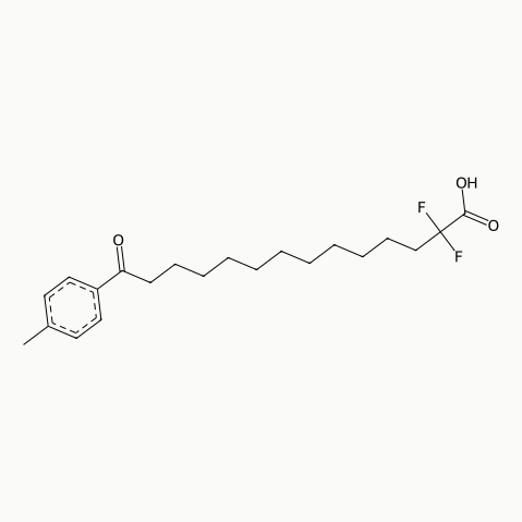 Cc1ccc(C(=O)CCCCCCCCCCCC(F)(F)C(=O)O)cc1